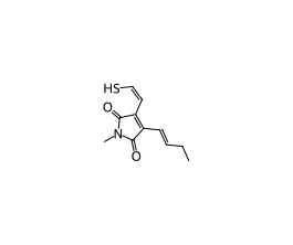 CCC=CC1=C(/C=C\S)C(=O)N(C)C1=O